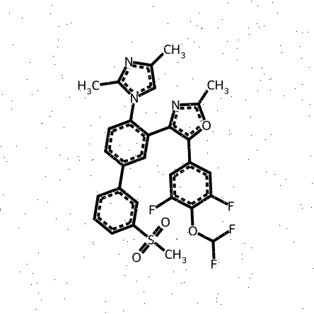 Cc1cn(-c2ccc(-c3cccc(S(C)(=O)=O)c3)cc2-c2nc(C)oc2-c2cc(F)c(OC(F)F)c(F)c2)c(C)n1